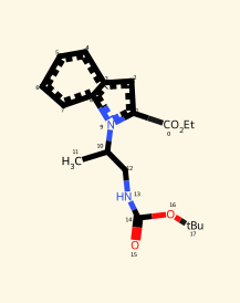 CCOC(=O)c1cc2ccccc2n1C(C)CNC(=O)OC(C)(C)C